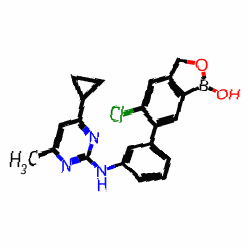 Cc1cc(C2CC2)nc(Nc2cccc(-c3cc4c(cc3Cl)COB4O)c2)n1